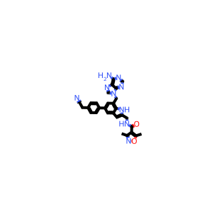 Cc1noc(C)c1C(=O)NCc1cc2cc(-c3ccc(CC#N)cc3)cc(Cn3cnc4c(N)ncnc43)c2[nH]1